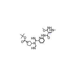 CN/C=C(\C(=N)OC)C(=O)Nc1cccc(C(=N)N(C=N)C2CCN(C(=O)OC(C)(C)C)C2)n1